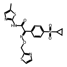 Cc1cnc(NC(=O)/C(=N/OCc2nccs2)c2ccc(S(=O)(=O)C3CC3)cc2)s1